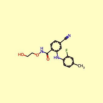 Cc1ccc(Nc2cc(C#N)ccc2C(=O)NOCCO)c(F)c1